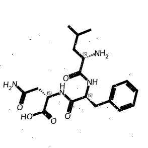 CC(C)C[C@H](N)C(=O)N[C@@H](Cc1ccccc1)C(=O)N[C@@H](CC(N)=O)C(=O)O